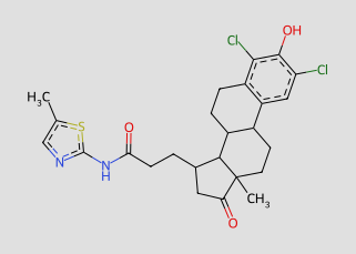 Cc1cnc(NC(=O)CCC2CC(=O)C3(C)CCC4c5cc(Cl)c(O)c(Cl)c5CCC4C23)s1